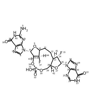 Nc1nc2c(ncn2[C@@H]2OC3CC[C@H]4[C@H](F)[C@H](n5cnc6c(=O)[nH]cnc65)O[C@@H]4COP(=O)(O)O[C@@H]2[C@@H]3F)c(=O)[nH]1